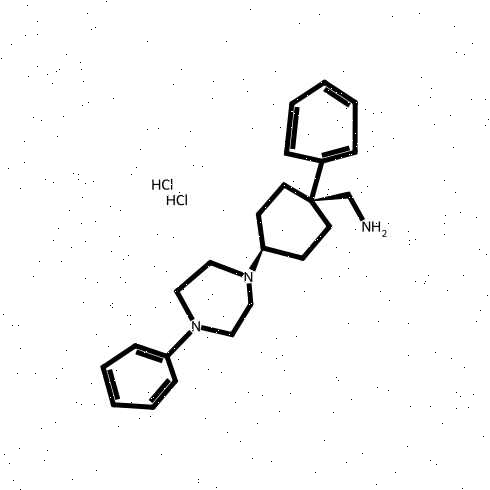 Cl.Cl.NC[C@]1(c2ccccc2)CC[C@H](N2CCN(c3ccccc3)CC2)CC1